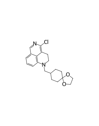 Clc1ncc2cccc3c2c1CCN3CC1CCC2(CC1)OCCO2